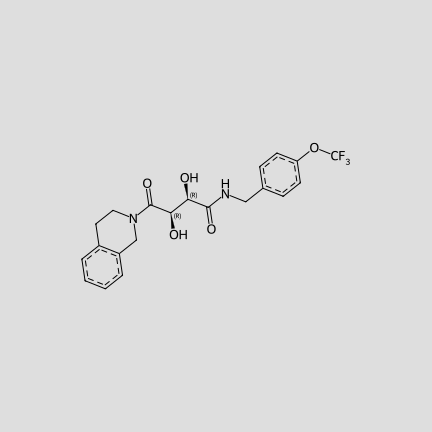 O=C(NCc1ccc(OC(F)(F)F)cc1)[C@H](O)[C@@H](O)C(=O)N1CCc2ccccc2C1